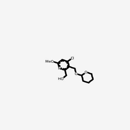 COc1cc(Cl)c(COC2CCCCO2)c(CO)n1